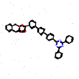 c1ccc(-c2nc(-c3ccccc3)nc(-c3ccc(-c4ccc(-c5cccc(-c6ccc7c(c6)C6c8ccccc8C7c7ccccc76)c5)cc4)cc3)n2)cc1